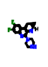 Fc1cc2nc(N3CCNCC3)c3c(c2cc1F)=CC1C[C@H]1N=3